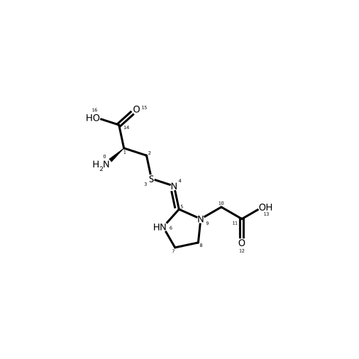 N[C@H](CS/N=C1\NCCN1CC(=O)O)C(=O)O